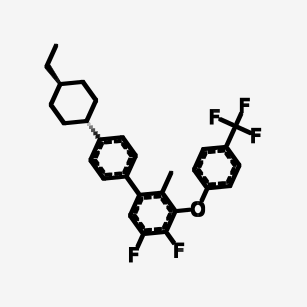 CC[C@H]1CC[C@H](c2ccc(-c3cc(F)c(F)c(Oc4ccc(C(F)(F)F)cc4)c3C)cc2)CC1